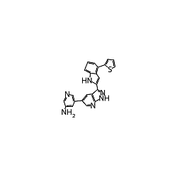 Nc1cncc(-c2cnc3[nH]nc(-c4cc5c(-c6cccs6)cccc5[nH]4)c3c2)c1